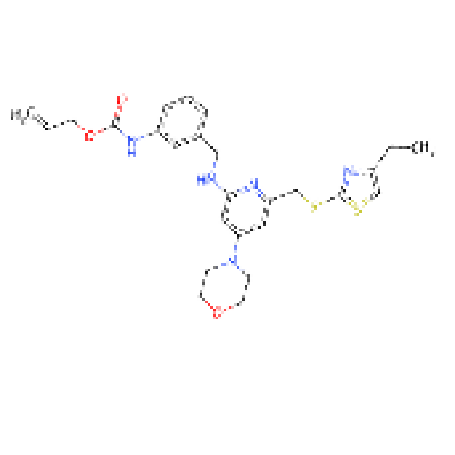 C=CCOC(=O)Nc1cccc(CNc2cc(N3CCOCC3)cc(CSc3nc(CC)cs3)n2)c1